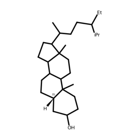 CCC(CCC(C)C1CCC2C3CC[C@H]4CC(O)CCC4(C)C3CCC12C)C(C)C